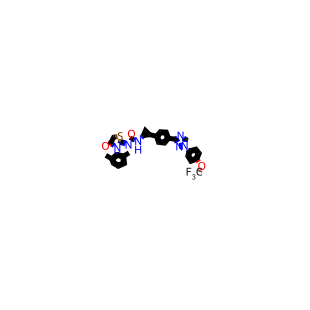 Cc1cccc(C)c1N1C(=O)CSC1=NC(=O)NC1CC1c1ccc(-c2ncn(-c3ccc(OC(F)(F)F)cc3)n2)cc1